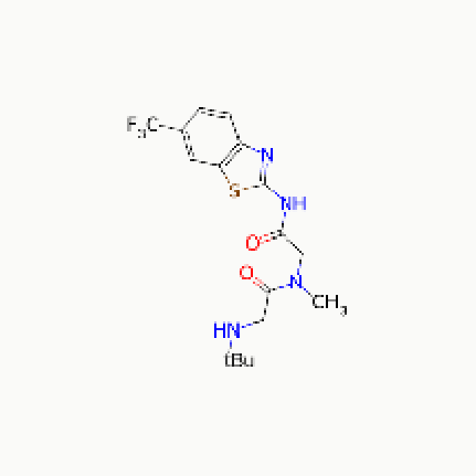 CN(CC(=O)Nc1nc2ccc(C(F)(F)F)cc2s1)C(=O)CNC(C)(C)C